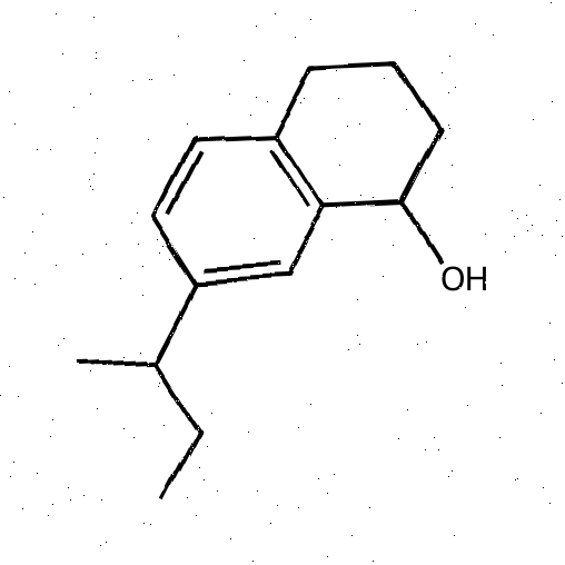 CCC(C)c1ccc2c(c1)C(O)CCC2